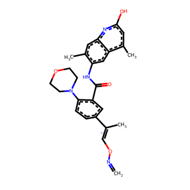 C=NO/C=C(\C)c1ccc(N2CCOCC2)c(C(=O)Nc2cc3c(C)cc(O)nc3cc2C)c1